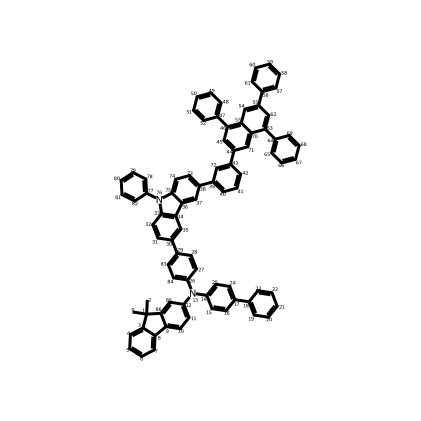 CC1(C)c2ccccc2-c2ccc(N(c3ccc(-c4ccccc4)cc3)c3ccc(-c4ccc5c(c4)c4cc(-c6cccc(-c7cc(-c8ccccc8)c8cc(-c9ccccc9)cc(-c9ccccc9)c8c7)c6)ccc4n5-c4ccccc4)cc3)cc21